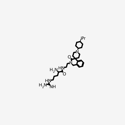 CC(C)[C@H]1CC[C@@H](N2CCC3(CC2)C(=O)N(CCNC(=O)C(N)CCCNC(=N)N)Cc2ccccc23)CC1